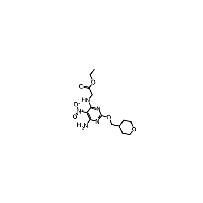 CCOC(=O)CNc1nc(OCC2CCOCC2)nc(N)c1[N+](=O)[O-]